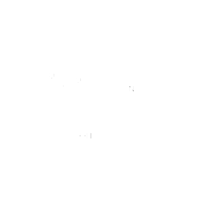 CCN(CC)c1ccc2c(C(C)O)cc(=O)oc2c1